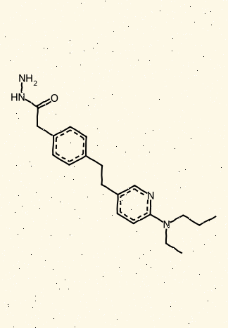 CCCN(CC)c1ccc(CCc2ccc(CC(=O)NN)cc2)cn1